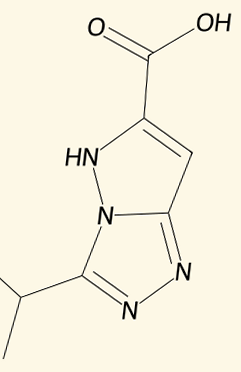 CC(C)c1nnc2cc(C(=O)O)[nH]n12